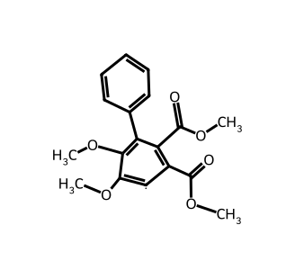 COC(=O)c1[c]c(OC)c(OC)c(-c2ccccc2)c1C(=O)OC